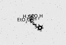 CCOC(=O)[C@H](CSCCSc1ccccc1)N[C@@H](C)C(=O)O